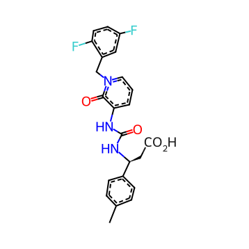 Cc1ccc([C@H](CC(=O)O)NC(=O)Nc2cccn(Cc3cc(F)ccc3F)c2=O)cc1